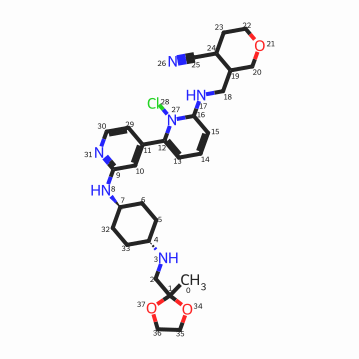 CC1(CN[C@H]2CC[C@H](Nc3cc(C4=CC=CC(NCC5COCCC5C#N)N4Cl)ccn3)CC2)OCCO1